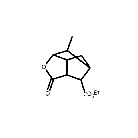 CCOC(=O)C1C2CC3C(OC(=O)C31)C2C